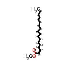 CCCCCCCCCCCCCCC/C=C\C(=O)OC